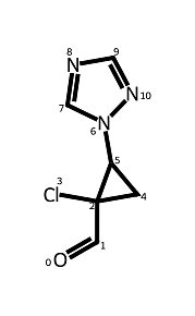 O=CC1(Cl)CC1n1cncn1